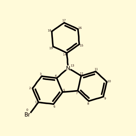 Brc1ccc2c(c1)c1ccccc1n2C1=CC=CCC1